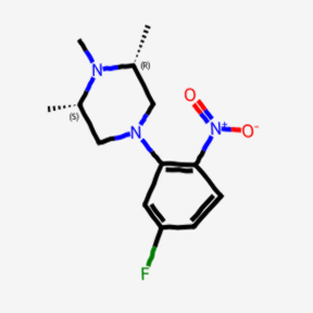 C[C@@H]1CN(c2cc(F)ccc2[N+](=O)[O-])C[C@H](C)N1C